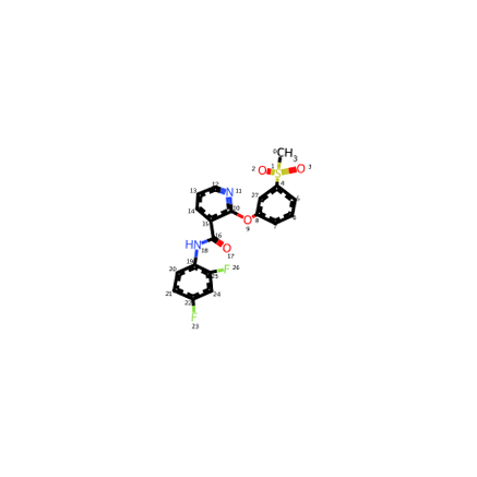 CS(=O)(=O)c1cccc(Oc2ncccc2C(=O)Nc2ccc(F)cc2F)c1